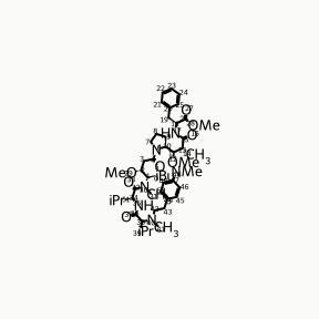 CC[C@H](C)[C@@H]([C@@H](CC(=O)N1CCC[C@H]1[C@H](OC)[C@@H](C)C(=O)N[C@@H](Cc1ccccc1)C(=O)OC)OC)N(C)C(=O)[C@@H](NC(=O)C(C(C)C)N(C)CCc1ccc(NC)cc1)C(C)C